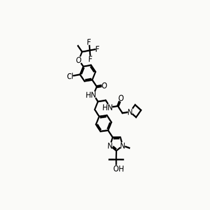 CC(Oc1ccc(C(=O)NC(CNC(=O)CN2CCC2)Cc2ccc(-c3cn(C)c(C(C)(C)O)n3)cc2)cc1Cl)C(F)(F)F